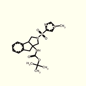 Cn1cnc(S(=O)(=O)N2CC3c4ccccc4CC3(NC(=O)OC(C)(C)C)C2)c1